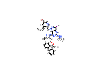 CCCC(CCO[Si](c1ccccc1)(c1ccccc1)C(C)(C)C)Nc1nc(NC(=O)O)nc2c(I)nn(Cc3ncc(Br)cc3OC)c12